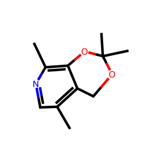 Cc1cnc(C)c2c1COC(C)(C)O2